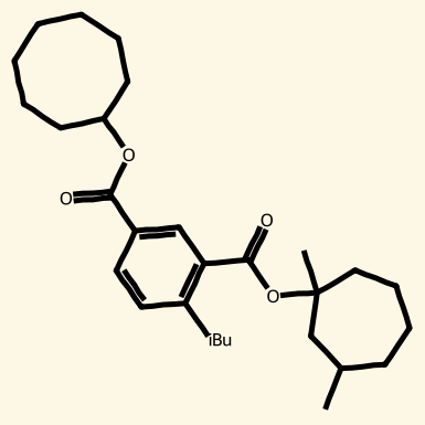 CCC(C)c1ccc(C(=O)OC2CCCCCCC2)cc1C(=O)OC1(C)CCCCC(C)C1